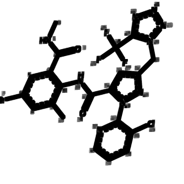 CNC(=O)c1cc(Br)cc(C)c1NC(=O)c1cc(Cn2nnnc2C(F)(F)F)nn1-c1ncccc1Cl